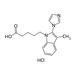 Cc1c(-n2ccnc2)n(CCCCC(=O)O)c2ccccc12.Cl